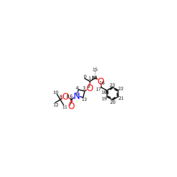 CC(OC1CN(C(=O)OC(C)(C)C)C1)[C@H](C)OCc1ccccc1